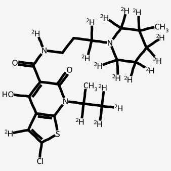 [2H]c1c(Cl)sc2c1c(O)c(C(=O)N([2H])CCC([2H])([2H])N1C([2H])([2H])C([2H])([2H])C([2H])([2H])C([2H])(C)C1([2H])[2H])c(=O)n2C([2H])(C)C([2H])([2H])[2H]